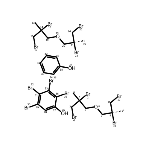 CC(Br)(CBr)COC[C@](C)(Br)CBr.CC(Br)(CBr)COC[C@](C)(Br)CBr.Oc1cc(Br)c(Br)c(Br)c1Br.Oc1ccccc1